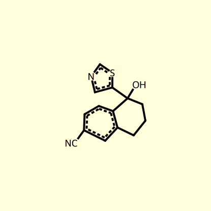 N#Cc1ccc2c(c1)CCCC2(O)c1cncs1